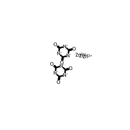 O=c1[n-]c(=O)[n-]c(=O)[n-]1.O=c1[n-]c(=O)[n-]c(=O)[n-]1.[Zn+2].[Zn+2].[Zn+2]